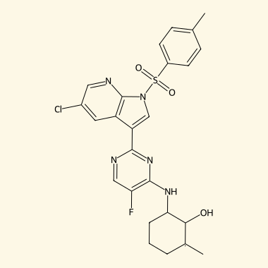 C[C]1CCCC(Nc2nc(-c3cn(S(=O)(=O)c4ccc(C)cc4)c4ncc(Cl)cc34)ncc2F)C1O